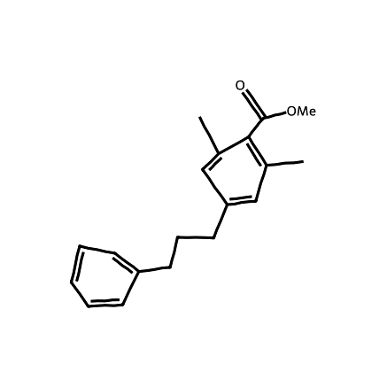 COC(=O)c1c(C)cc(CCCc2ccccc2)cc1C